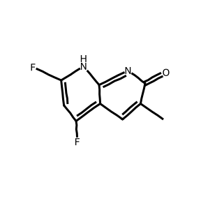 Cc1cc2c(F)cc(F)[nH]c-2nc1=O